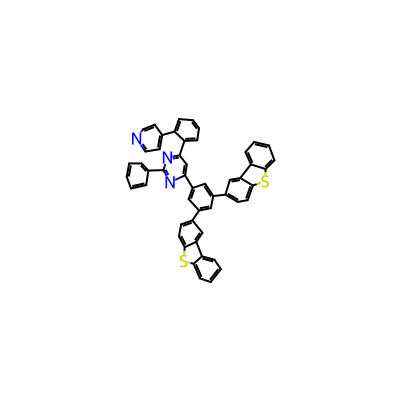 c1ccc(-c2nc(-c3cc(-c4ccc5sc6ccccc6c5c4)cc(-c4ccc5sc6ccccc6c5c4)c3)cc(-c3ccccc3-c3ccncc3)n2)cc1